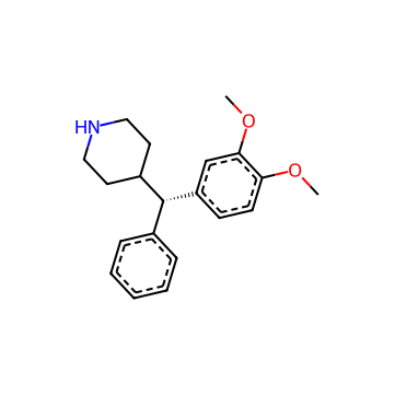 COc1ccc([C@H](c2ccccc2)C2CCNCC2)cc1OC